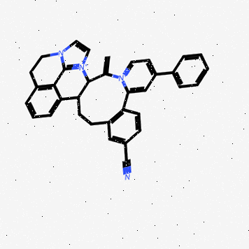 C=C1C2C(CCc3cc(C#N)ccc3-c3cc(-c4ccccc4)cc[n+]31)c1cccc3c1-c1n(cc[n+]12)CC3